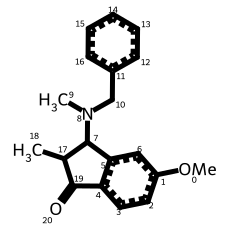 COc1ccc2c(c1)C(N(C)Cc1ccccc1)C(C)C2=O